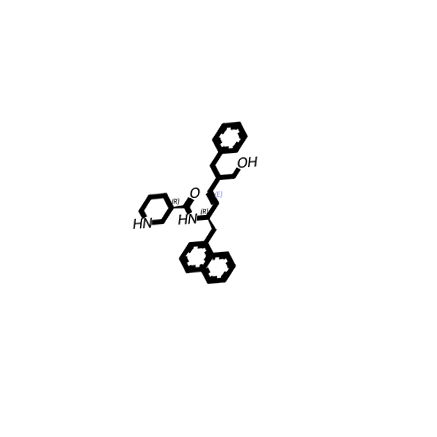 O=C(N[C@@H](/C=C/C(CO)Cc1ccccc1)Cc1cccc2ccccc12)[C@@H]1CCCNC1